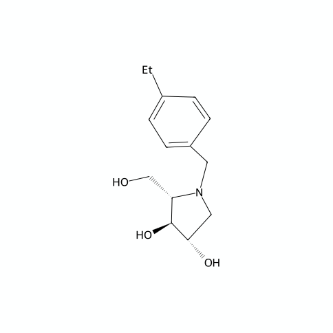 CCc1ccc(CN2C[C@H](O)[C@@H](O)[C@@H]2CO)cc1